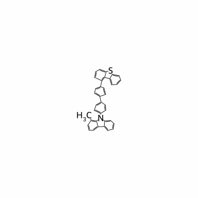 Cc1cccc2c3ccccc3n(-c3ccc(-c4ccc(-c5cccc6sc7ccccc7c56)cc4)cc3)c12